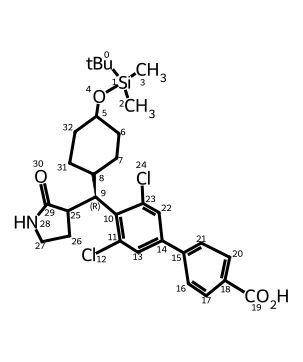 CC(C)(C)[Si](C)(C)OC1CCC([C@@H](c2c(Cl)cc(-c3ccc(C(=O)O)cc3)cc2Cl)C2CCNC2=O)CC1